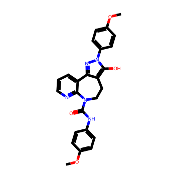 COc1ccc(NC(=O)N2CCc3c(nn(-c4ccc(OC)cc4)c3O)-c3cccnc32)cc1